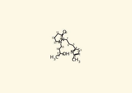 Cc1csc(CCCN2C(=O)CCCN2CCC(C)O)n1